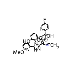 C/C=C/N(c1nnc(C2=C=C=CC(OC)=N2)n1-c1c(O)cccc1O)S(=O)(=O)C[C@@H](O)c1ccc(F)cn1